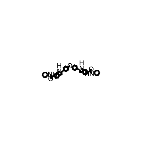 O=C(NC1CCCCC1)c1ccc2cc(-c3ccc(Oc4ccc(-c5cc6ccc(C(=O)NC7CCCCC7)cc6[nH]5)cc4)cc3)[nH]c2c1